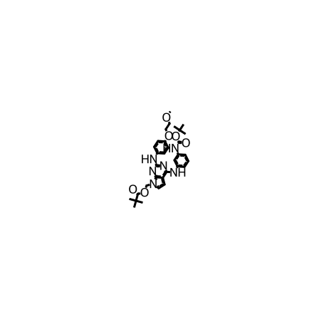 COCCOc1ccc(Nc2nc(Nc3cccc(NC(=O)OC(C)(C)C)c3)c3ccn(COC(=O)C(C)(C)C)c3n2)cc1